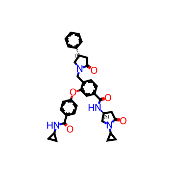 O=C(NC1CC1)c1ccc(Oc2cc(C(=O)N[C@H]3CC(=O)N(C4CC4)C3)ccc2CN2C[C@H](c3ccccc3)CC2=O)cc1